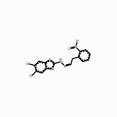 O=[N+]([O-])c1ccccc1C/C=N\Nc1nc2cc(Cl)c(Cl)cc2s1